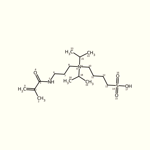 C=C(C)C(=O)NCCC[N+](CCCCS(=O)(=O)O)(C(C)C)C(C)C